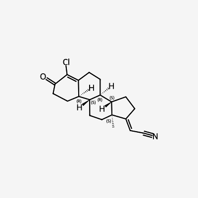 C[C@]12CC[C@H]3[C@@H](CCC4=C(Cl)C(=O)CC[C@@H]43)[C@@H]1CCC2=CC#N